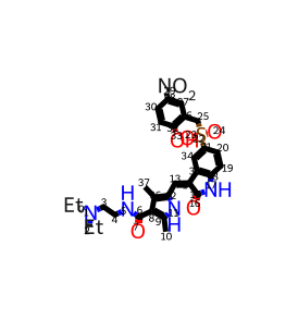 CCN(CC)CCNC(=O)c1c(C)[nH]c(/C=C2\C(=O)Nc3ccc(S(=O)(=O)Cc4cc([N+](=O)[O-])ccc4O)cc32)c1C